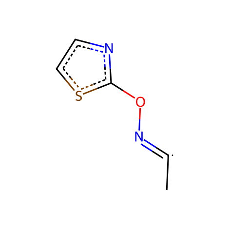 C[C]=NOc1nccs1